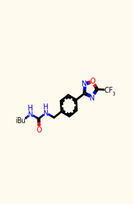 CCC(C)NC(=O)NCc1ccc(-c2noc(C(F)(F)F)n2)cc1